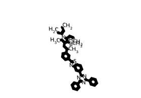 C=C/C=C(\C=C)n1c(C)c(/C=C(\C)c2cccc(-c3nc4cc(-c5nc(-c6ccccc6)nc(-c6ccccc6)n5)ccc4s3)c2)c(BC)c1/C=C\C